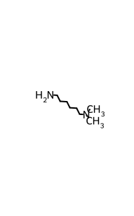 CN(C)CCCCCCN